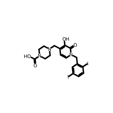 O=C(O)N1CCN(Cc2ccn(Cc3cc(I)ccc3I)c(=O)c2O)CC1